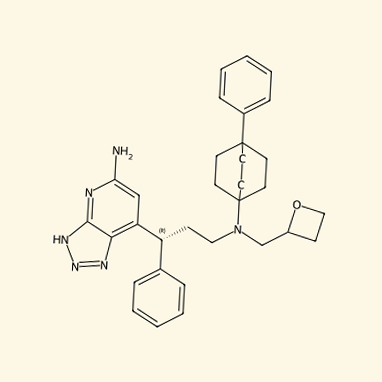 Nc1cc([C@H](CCN(CC2CCO2)C23CCC(c4ccccc4)(CC2)CC3)c2ccccc2)c2nn[nH]c2n1